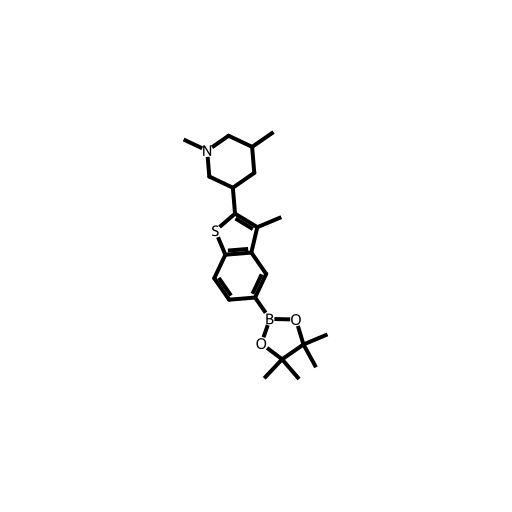 Cc1c(C2CC(C)CN(C)C2)sc2ccc(B3OC(C)(C)C(C)(C)O3)cc12